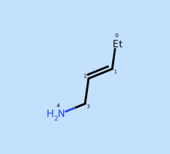 CCC=CCN